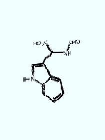 O=CNC(C(=O)O)c1c[nH]c2ccccc12